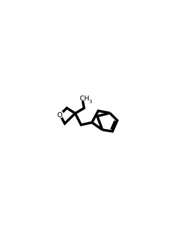 CCC1(CC2CC3C=CC2C3)COC1